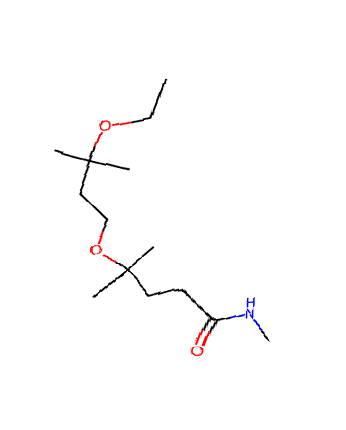 CCOC(C)(C)CCOC(C)(C)CCC(=O)NC